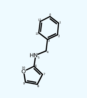 c1ccc(CNc2ccco2)cc1